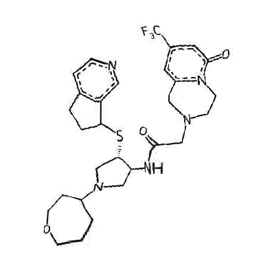 O=C(CN1CCn2c(cc(C(F)(F)F)cc2=O)C1)NC1CN(C2CCCOCC2)C[C@@H]1SC1CCc2ccncc21